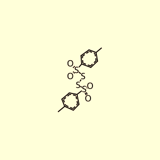 Cc1ccc(S(=O)(=O)SSS(=O)(=O)c2ccc(C)cc2)cc1